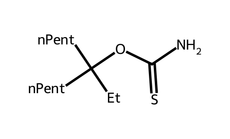 CCCCCC(CC)(CCCCC)OC(N)=S